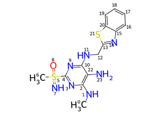 CNc1nc(S(C)(=N)=O)nc(NCc2nc3ccccc3s2)c1N